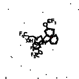 O[C@H](CN(C[C@H](O)C(F)(F)F)CC(Cc1ccccc1)(c1cccc(OC(F)(F)F)c1)c1cccc(OC(F)(F)F)c1)C(F)(F)F